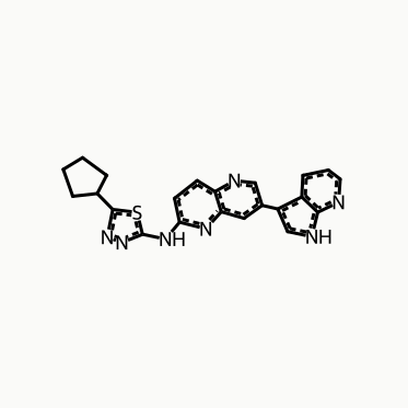 c1cnc2[nH]cc(-c3cnc4ccc(Nc5nnc(C6CCCC6)s5)nc4c3)c2c1